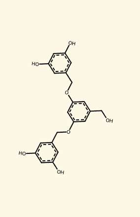 OCc1cc(OCc2cc(O)cc(O)c2)cc(OCc2cc(O)cc(O)c2)c1